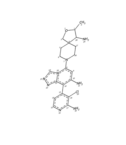 CC1OCC2(CCN(c3cc(N)c(-c4ccnc(N)c4Cl)c4nncn34)CC2)C1N